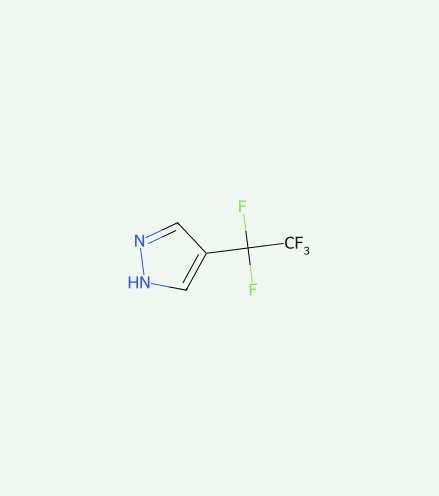 FC(F)(F)C(F)(F)c1cn[nH]c1